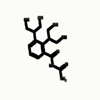 NC(=O)NC(=O)c1cccc(C(CO)CO)c1C(CO)CO